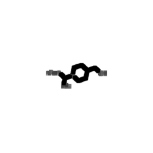 CCCCCC(CCCC)N1CCC(CO)CC1